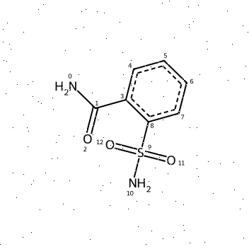 NC(=O)c1ccccc1S(N)(=O)=O